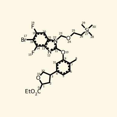 CCOC(=O)C1CC(c2ccc(C)c(Oc3nc4c(F)c(Br)c(F)cc4n3COCC[Si](C)(C)C)c2)CO1